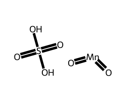 O=S(=O)(O)O.[O]=[Mn]=[O]